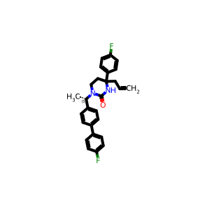 C=CCC1(c2ccc(F)cc2)CCN([C@@H](C)c2ccc(-c3ccc(F)cc3)cc2)C(=O)N1